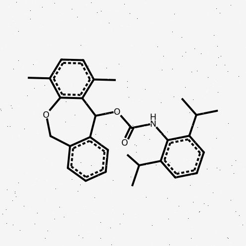 Cc1ccc(C)c2c1OCc1ccccc1C2OC(=O)Nc1c(C(C)C)cccc1C(C)C